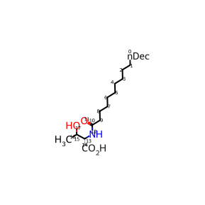 CCCCCCCCCCCCCCCCCCCC(=O)N[C@H](C(=O)O)C(C)O